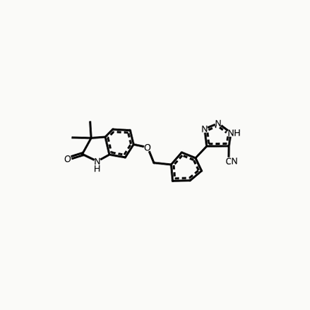 CC1(C)C(=O)Nc2cc(OCc3cccc(-c4nn[nH]c4C#N)c3)ccc21